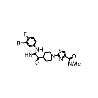 CNC(=O)c1csc(N2CCC(C(=O)C(=N)Nc3ccc(F)c(Br)c3)CC2)n1